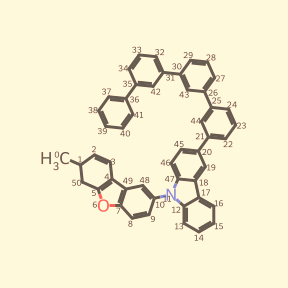 CC1C=Cc2c(oc3ccc(-n4c5ccccc5c5cc(-c6cccc(-c7cccc(-c8cccc(-c9ccccc9)c8)c7)c6)ccc54)cc23)C1